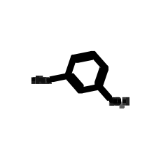 CCCCCCc1cccc(S(=O)(=O)O)c1